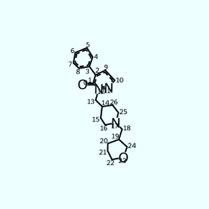 O=c1c(-c2ccccc2)ccnn1CC1CCN(CC2CCCOC2)CC1